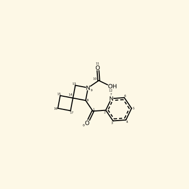 O=C(c1ccccn1)C1N(C(=O)O)CC12CCC2